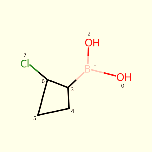 OB(O)C1CCC1Cl